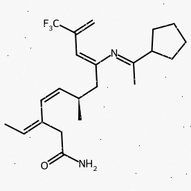 C=C(/C=C(C[C@@H](C)/C=C\C(=C/C)CC(N)=O)\N=C(/C)C1CCCC1)C(F)(F)F